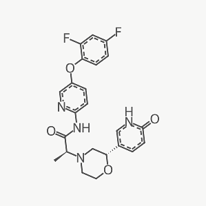 C[C@@H](C(=O)Nc1ccc(Oc2ccc(F)cc2F)cn1)N1CCO[C@@H](c2ccc(=O)[nH]c2)C1